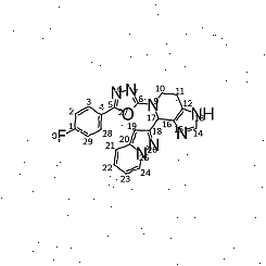 Fc1ccc(-c2nnc(N3CCc4[nH]cnc4C3c3cc4ccccn4n3)o2)cc1